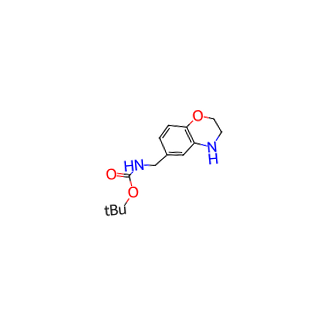 CC(C)(C)OC(=O)NCc1ccc2c(c1)NCCO2